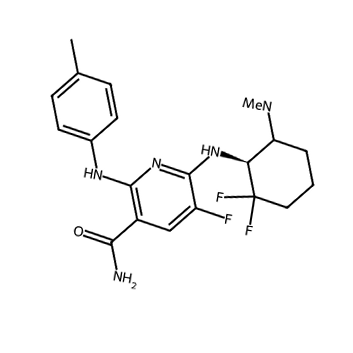 CNC1CCCC(F)(F)[C@H]1Nc1nc(Nc2ccc(C)cc2)c(C(N)=O)cc1F